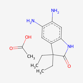 CC(=O)O.CCC1(CC)C(=O)Nc2cc(N)c(N)cc21